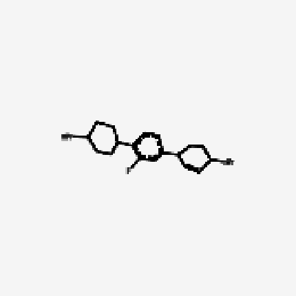 CCCC1C=CC(c2ccc(C3CCC(CCC)CC3)c(F)c2)CC1